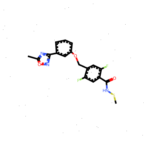 CSNC(=O)c1cc(F)c(COc2cccc(-c3noc(C)n3)c2)cc1F